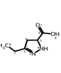 CCC1=NNC(C(=O)O)C1